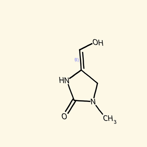 CN1C/C(=C\O)NC1=O